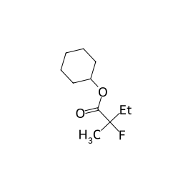 CCC(C)(F)C(=O)OC1CCCCC1